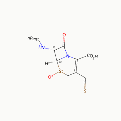 CCCCCN[C@@H]1C(=O)N2C(C(=O)O)=C(C=S)C[S+]([O-])[C@@H]12